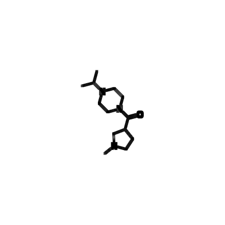 CC(C)N1CCN(C(=O)C2CCN(C)C2)CC1